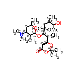 CO[C@](C)(C[C@@H](C)CO)[C@H](O[C@@H]1OC(C)CC(N(C)C)C1C)[C@H](C)C1=CC(=O)OC(C)(C)O1